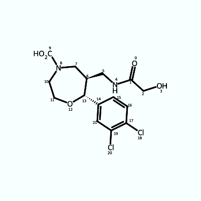 O=C(CO)NC[C@@H]1CN(C(=O)O)CCO[C@H]1c1ccc(Cl)c(Cl)c1